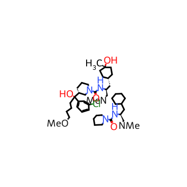 CNC[C@H](CC1CCCCC1)NC(=O)N1CCCCC1.CNC[C@H](C[C@H]1CC[C@@](C)(O)CC1)NC(=O)N1CCC[C@@H]([C@@](O)(CCCCOC)c2cccc(Cl)c2)C1